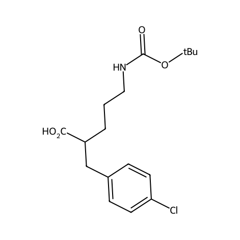 CC(C)(C)OC(=O)NCCCC(Cc1ccc(Cl)cc1)C(=O)O